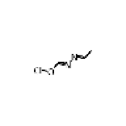 C/C=N/N=C/OCl